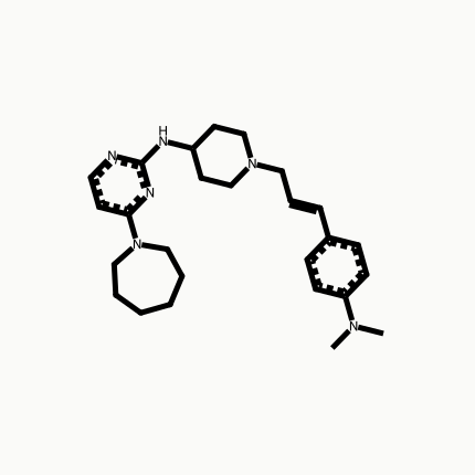 CN(C)c1ccc(C=CCN2CCC(Nc3nccc(N4CCCCCC4)n3)CC2)cc1